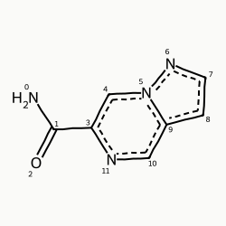 NC(=O)c1cn2nccc2cn1